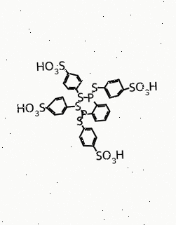 O=S(=O)(O)c1ccc(SP(Sc2ccc(S(=O)(=O)O)cc2)c2ccccc2P(Sc2ccc(S(=O)(=O)O)cc2)Sc2ccc(S(=O)(=O)O)cc2)cc1